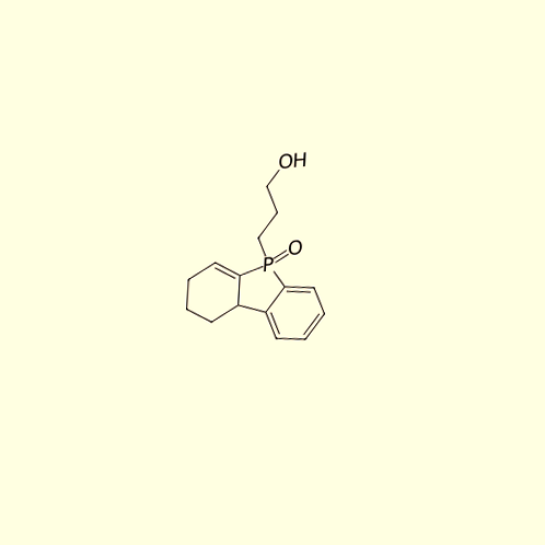 O=P1(CCCO)C2=CCCCC2c2ccccc21